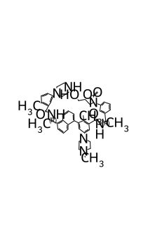 Cc1ccc(N2CCNCC2)cc1C(=O)N[C@H](C)c1cccc2c(-c3cc(N4CCN(C)CC4)cc(C(=O)N[C@H](C)c4cccc(N5CC(CO)OC5=O)c4)c3C)cccc12